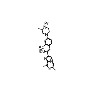 CCC(C)/C(=C\c1ccc(N2CCN(C(C)C)[C@H](C)C2)cc1C(C)=O)c1cn2cc(C)nc(C)c2n1